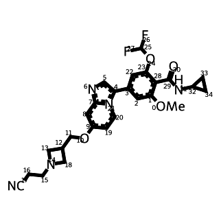 COc1cc(-c2cnc3cc(OCC4CN(CCC#N)C4)ccn23)cc(OC(F)F)c1C(=O)NC1CC1